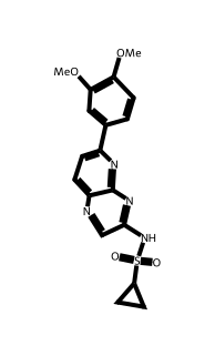 COc1ccc(-c2ccc3ncc(NS(=O)(=O)C4CC4)nc3n2)cc1OC